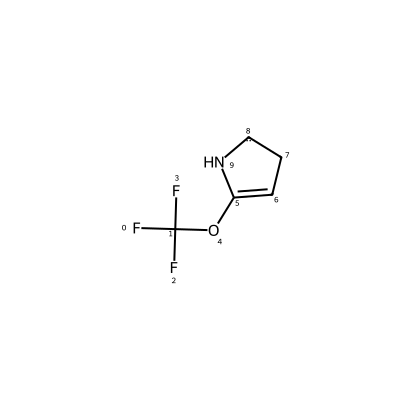 FC(F)(F)OC1=CC[C]N1